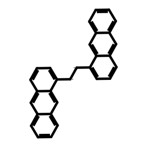 [CH]([CH]c1cccc2cc3ccccc3cc12)c1cccc2cc3ccccc3cc12